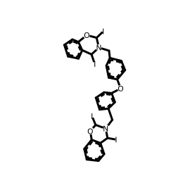 IC1Oc2ccccc2C(I)N1Cc1ccc(Oc2cccc(CN3C(I)Oc4ccccc4C3I)c2)cc1